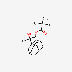 CCC(C)(C)C(=O)OCC(O)(CC)C12CC3CC(CC(C3)C1)C2